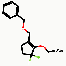 COCOC1=C(COCc2ccccc2)CCC1(F)F